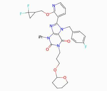 CC(C)n1c(=O)n(CCCOC2CCCCO2)c(=O)c2c1nc(-c1cccnc1OCC1CC1(F)F)n2Cc1ccc(F)cc1